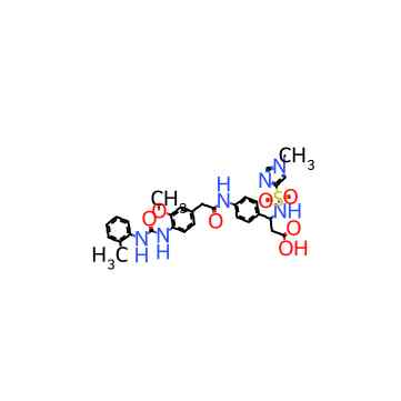 COc1cc(CC(=O)Nc2ccc(C(CC(=O)O)NS(=O)(=O)c3cn(C)cn3)cc2)ccc1NC(=O)Nc1ccccc1C